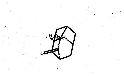 C=C1C(=O)C2CC3CC1CC(Cl)(C3)C2